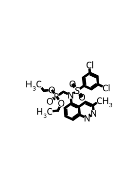 CCOP(=O)(CN(c1cccc2nnc(C)cc12)S(=O)(=O)c1cc(Cl)cc(Cl)c1)OCC